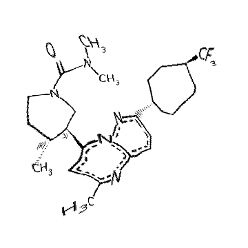 Cc1cc([C@@H]2CN(C(=O)N(C)C)CC[C@H]2C)n2nc([C@H]3CC[C@H](C(F)(F)F)CC3)cc2n1